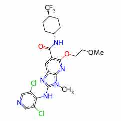 COCCOc1nc2c(cc1C(=O)N[C@H]1CC[C@H](C(F)(F)F)CC1)nc(Nc1c(Cl)cncc1Cl)n2C